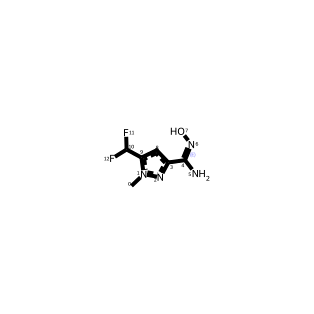 Cn1nc(/C(N)=N\O)cc1C(F)F